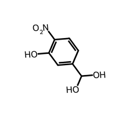 O=[N+]([O-])c1ccc(C(O)O)cc1O